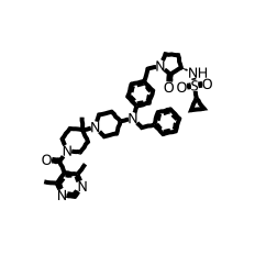 Cc1ncnc(C)c1C(=O)N1CCC(C)(N2CCC(N(Cc3ccccc3)c3ccc(CN4CC[C@H](NS(=O)(=O)C5CC5)C4=O)cc3)CC2)CC1